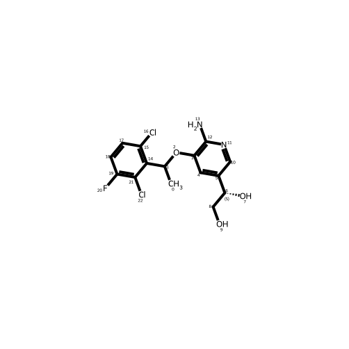 CC(Oc1cc([C@H](O)CO)cnc1N)c1c(Cl)ccc(F)c1Cl